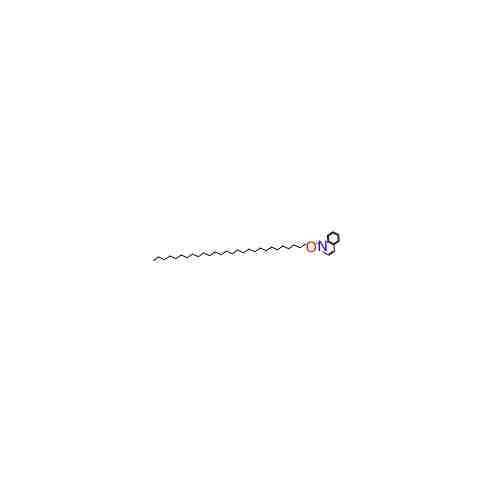 CCCCCCCCCCCCCCCCCCCCCCCCCCCCOCN1CC=Cc2ccccc21